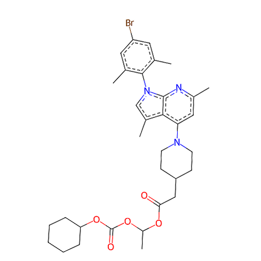 Cc1cc(N2CCC(CC(=O)OC(C)OC(=O)OC3CCCCC3)CC2)c2c(C)cn(-c3c(C)cc(Br)cc3C)c2n1